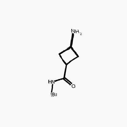 CC(C)(C)NC(=O)C1CC(N)C1